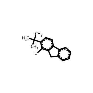 [Li][c]1c(C(C)(C)C)ccc2c1Cc1ccccc1-2